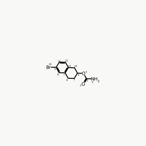 NC(=O)OC1CCc2cc(Br)ccc2C1